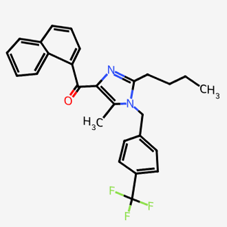 CCCCc1nc(C(=O)c2cccc3ccccc23)c(C)n1Cc1ccc(C(F)(F)F)cc1